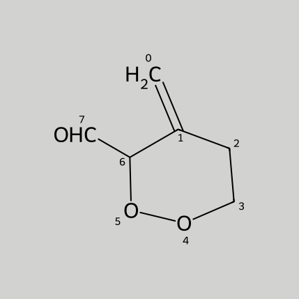 C=C1CCOOC1C=O